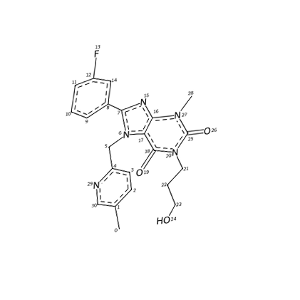 Cc1ccc(Cn2c(-c3cccc(F)c3)nc3c2c(=O)n(CCCO)c(=O)n3C)nc1